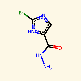 NNC(=O)c1cnc(Br)[nH]1